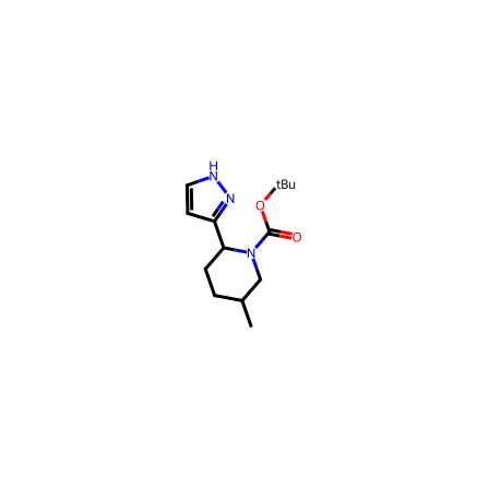 CC1CCC(c2cc[nH]n2)N(C(=O)OC(C)(C)C)C1